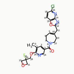 Cc1cc(C(=O)N2CCC=C(Cc3nc4nc(Cl)ccc4o3)CC2)cnc1OCC1(F)COC1